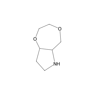 C1CC2OCCOCC2N1